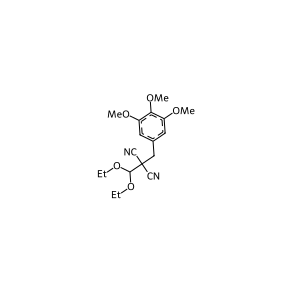 CCOC(OCC)C(C#N)(C#N)Cc1cc(OC)c(OC)c(OC)c1